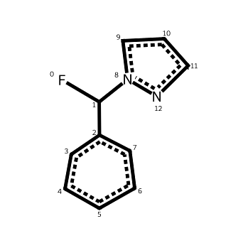 FC(c1ccccc1)n1cc[c]n1